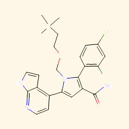 C[Si](C)(C)CCOCn1c(-c2ccnc3[nH]ccc23)cc(C(N)=O)c1-c1ccc(Cl)cc1F